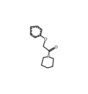 O=C(COc1c[c]ccc1)N1CCCCC1